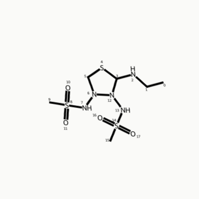 CCNC1SCN(NS(C)(=O)=O)N1NS(C)(=O)=O